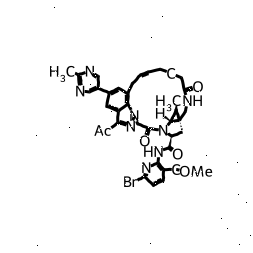 COCc1ccc(Br)nc1NC(=O)[C@@H]1C[C@]23CNC(=O)CCCC=CCc4cc(-c5cnc(C)nc5)cc5c(C(C)=O)nn(c45)CC(=O)N1[C@@H]2[C@@H]3C